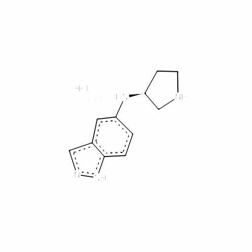 Cl.Cl.c1cc2[nH]ncc2cc1N[C@H]1CCNC1